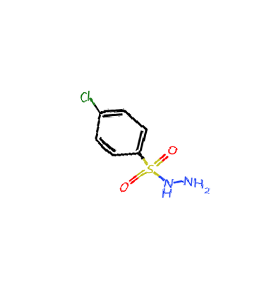 NNS(=O)(=O)c1ccc(Cl)cc1